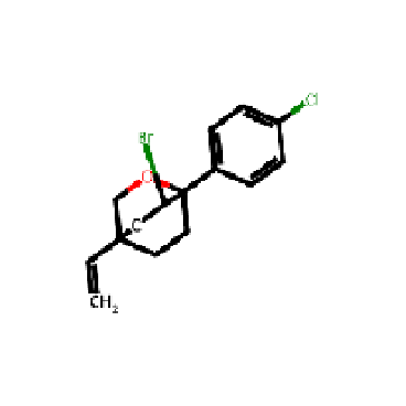 C=CC12CCC(c3ccc(Cl)cc3)(OC1)C(Br)C2